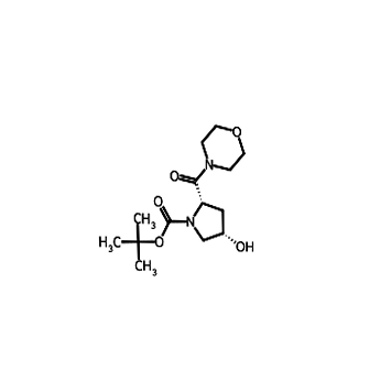 CC(C)(C)OC(=O)N1C[C@@H](O)C[C@H]1C(=O)N1CCOCC1